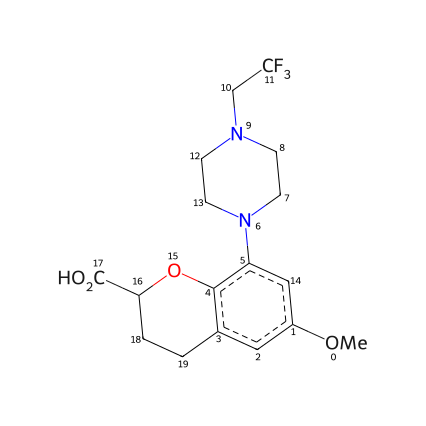 COc1cc2c(c(N3CCN(CC(F)(F)F)CC3)c1)OC(C(=O)O)CC2